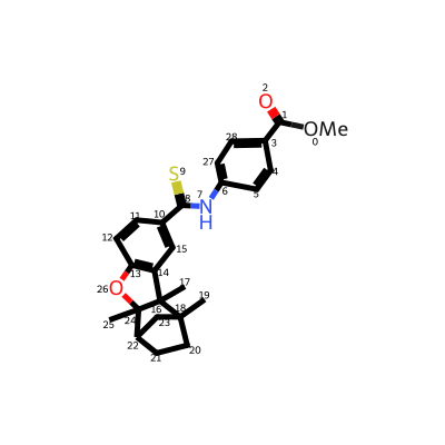 COC(=O)c1ccc(NC(=S)c2ccc3c(c2)C2(C)C4(C)CCC(C4)C2(C)O3)cc1